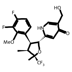 COc1c([C@H]2[C@H](c3cc(=O)c(CO)c[nH]3)O[C@@](C)(C(F)(F)F)[C@H]2C)ccc(F)c1F